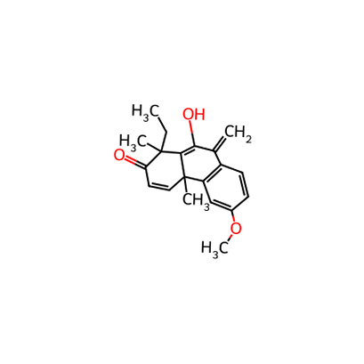 C=C1C(O)=C2C(C)(CC)C(=O)C=CC2(C)c2cc(OC)ccc21